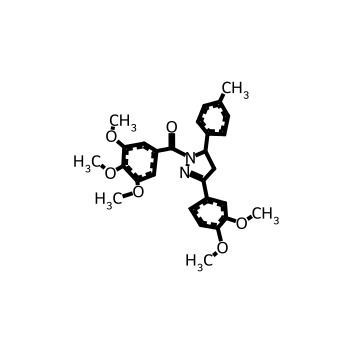 COc1ccc(C2=NN(C(=O)c3cc(OC)c(OC)c(OC)c3)C(c3ccc(C)cc3)C2)cc1OC